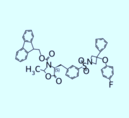 CC1OC(=O)[C@H](Cc2cccc(S(=O)(=O)N3CC(Oc4ccc(F)cc4)(c4ccccc4)C3)c2)N1C(=O)OCC1c2ccccc2-c2ccccc21